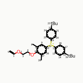 C=COCCOc1c(C)cc([S+](c2ccc(C(C)(C)C)cc2)c2ccc(C(C)(C)C)cc2)cc1C